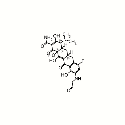 CN(C)[C@@H]1C(O)=C(C(N)=O)C(=O)[C@@]2(O)C(O)=C3C(=O)c4c(O)c(NCC=O)cc(F)c4C[C@H]3C[C@@H]12